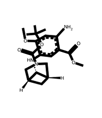 COC(=O)c1cc(N[C@H]2[C@@H]3C[C@H]2CN(C(=O)OC(C)(C)C)C3)c(OC)cc1N